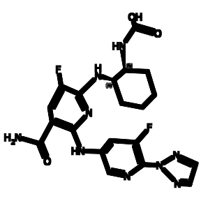 NC(=O)c1cc(F)c(N[C@@H]2CCCC[C@@H]2NC(=O)O)nc1Nc1cnc(-n2nccn2)c(F)c1